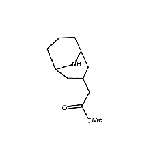 COC(=O)CC1CC2CCCC(C1)N2